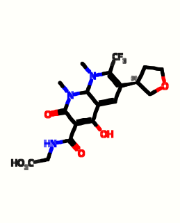 CN1C(=O)C(C(=O)NCC(=O)O)=C(O)C2=CC([C@H]3CCOC3)=C(C(F)(F)F)N(C)C21